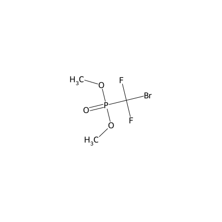 COP(=O)(OC)C(F)(F)Br